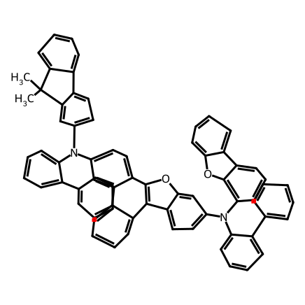 CC1(C)c2ccccc2-c2ccc(N(c3ccc4c(c3)c3ccccc3c3c5ccc(N(c6ccccc6-c6ccccc6)c6cccc7c6oc6ccccc67)cc5oc43)c3ccccc3-c3ccccc3)cc21